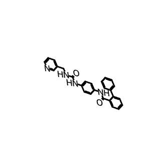 O=C(NCc1cccnc1)Nc1ccc(NC(=O)c2ccccc2-c2ccccc2)cc1